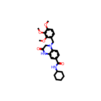 COc1ccc(CN2CC(=O)Nc3cc(C(=O)NC4CCCCC4)ccc32)c(OC)c1OC